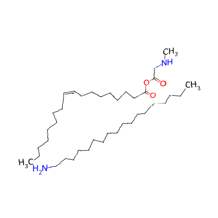 CCCCCCCC/C=C\CCCCCCCC(=O)OC(=O)CNC.CCCCCCCCCCCCCCCCCCN